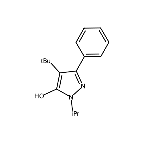 CC(C)n1nc(-c2ccccc2)c(C(C)(C)C)c1O